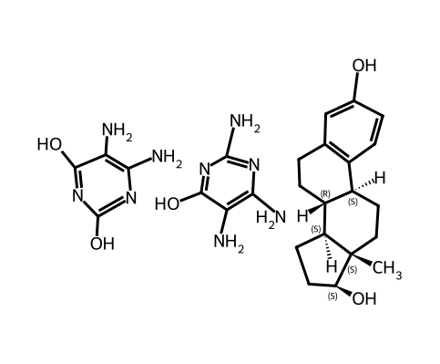 C[C@]12CC[C@@H]3c4ccc(O)cc4CC[C@H]3[C@@H]1CC[C@@H]2O.Nc1nc(N)c(N)c(O)n1.Nc1nc(O)nc(O)c1N